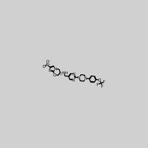 O=[N+]([O-])c1cn2c(n1)OC[C@@H](NCc1cnc(N3CCN(c4ccc(OC(F)(F)F)cc4)CC3)nc1)C2